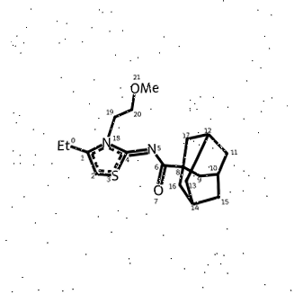 CCc1cs/c(=N\C(=O)C23CC4CC(CC(C4)C2)C3)n1CCOC